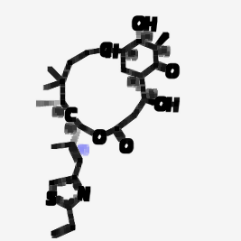 C=Cc1nc(/C=C(\C)[C@@H]2C[C@H](C)C(C)(C)CCC[C@@H]3C[C@@](C)(C(=O)[C@H](C)[C@H]3O)[C@@H](O)CC(=O)O2)cs1